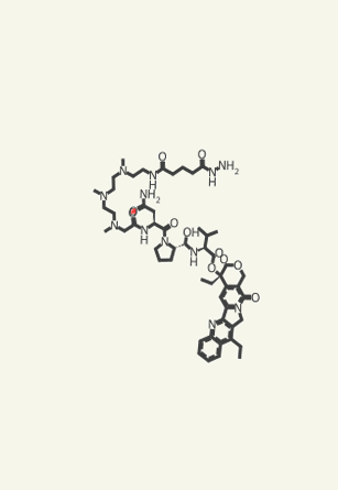 CCc1c2c(nc3ccccc13)-c1cc3c(c(=O)n1C2)COC(=O)[C@@]3(CC)OC(=O)[C@@H](NC(O)[C@@H]1CCCN1C(=O)[C@H](CC(N)=O)NC(=O)CN(C)CCN(C)CCN(C)CCNC(=O)CCCC(=O)NN)C(C)C